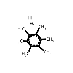 Cc1c(C)c(C)c(C)c(C)c1C.I.I.[Ru]